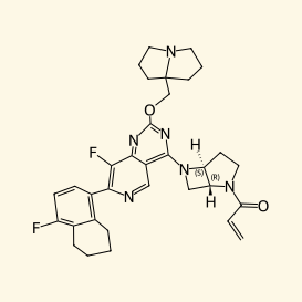 C=CC(=O)N1CC[C@H]2[C@H]1CN2c1nc(OCC23CCCN2CCC3)nc2c(F)c(-c3ccc(F)c4c3CCCC4)ncc12